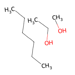 CCCCCC.CCO.CO